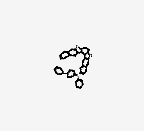 c1ccc(-c2ccc(N(c3ccccc3)c3ccc4cc5oc6ccc7oc8cc9ccccc9cc8c7c6c5cc4c3)cc2)cc1